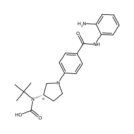 CC(C)(C)N(C(=O)O)[C@H]1CCN(c2ccc(C(=O)Nc3ccccc3N)cc2)C1